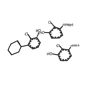 CCCCCCCc1cccc(O)c1Cl.CCCCCCc1cccc(O)c1Cl.Oc1cccc(C2CCCCC2)c1Cl